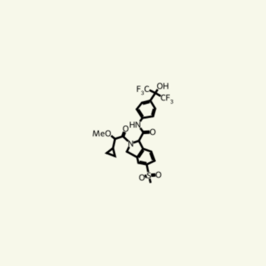 COC(C(=O)N1Cc2cc(S(C)(=O)=O)ccc2C1C(=O)Nc1ccc(C(O)(C(F)(F)F)C(F)(F)F)cc1)C1CC1